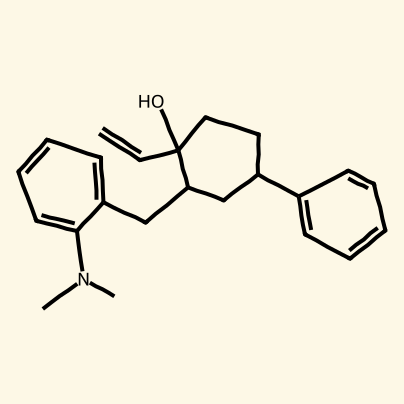 C=CC1(O)CCC(c2ccccc2)CC1Cc1ccccc1N(C)C